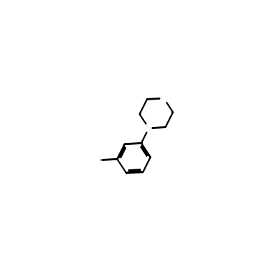 Clc1[c]c(N2CCOCC2)ccc1